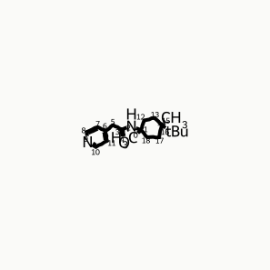 CC1(NC(=O)Cc2ccncc2)CCC(C)(C(C)(C)C)CC1